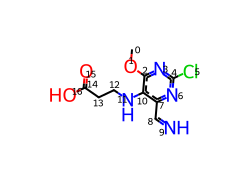 COc1nc(Cl)nc(C=N)c1NCCC(=O)O